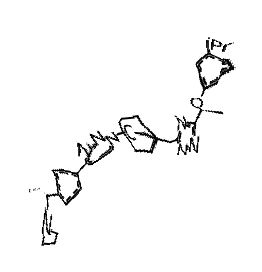 CC(C)c1cccc(O[C@@H](C)c2nnc(C34CCC(n5cc(-c6ccc([C@@H](C)N7CCC7)cc6)nn5)(CC3)CC4)n2C)c1